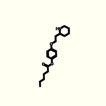 CCCCCC(=O)Oc1ccc(OCCC2CCCCN2)cc1